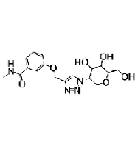 CNC(=O)c1cccc(OCc2cn([C@H]3CO[C@H](CO)[C@H](O)[C@@H]3O)nn2)c1